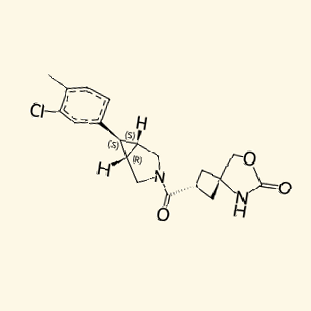 Cc1ccc([C@H]2[C@@H]3CN(C(=O)[C@H]4C[C@]5(COC(=O)N5)C4)C[C@@H]32)cc1Cl